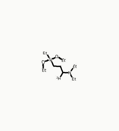 [2H]C(CC[Si](CC)(OCC)OCC)N(CC)CC